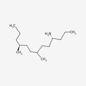 CCC[C@H](C)CCC(C)CC[C@H](N)CCC